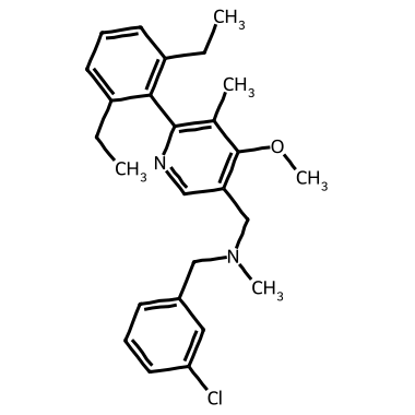 CCc1cccc(CC)c1-c1ncc(CN(C)Cc2cccc(Cl)c2)c(OC)c1C